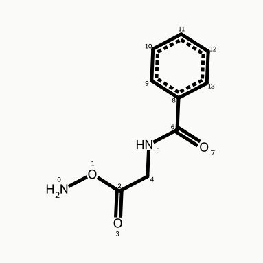 NOC(=O)CNC(=O)c1ccccc1